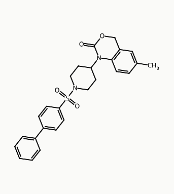 Cc1ccc2c(c1)COC(=O)N2C1CCN(S(=O)(=O)c2ccc(-c3ccccc3)cc2)CC1